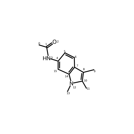 CC(=O)Nc1ccc2c(C)c(C)n(C)c2c1